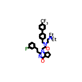 CCN(CC)CCN(Cc1ccc(-c2ccc(C(F)(F)F)cc2)cc1)C(=O)Cn1c(CCc2cccc(F)c2)nc(=O)c2c1CCC2